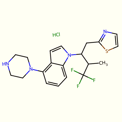 CC(C(Cc1nccs1)n1ccc2c(N3CCNCC3)cccc21)C(F)(F)F.Cl